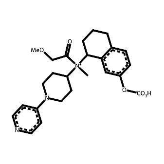 COCC(=O)[N+](C)(C1CCN(c2ccncc2)CC1)C1CCCc2ccc(OC(=O)O)cc21